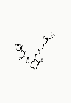 COC(=O)CCCSCCN1C(=O)CCC[C@@H]1C=CC(=O)Cc1ccccc1